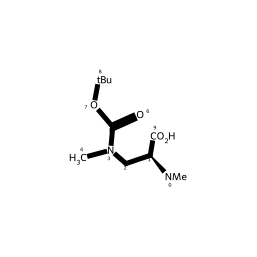 CN[C@@H](CN(C)C(=O)OC(C)(C)C)C(=O)O